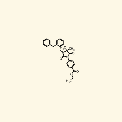 CCOC(=O)c1ccc(N2C(=O)N(Cc3ccccc3Cc3ccccc3)C(C)(C)C2=O)cc1